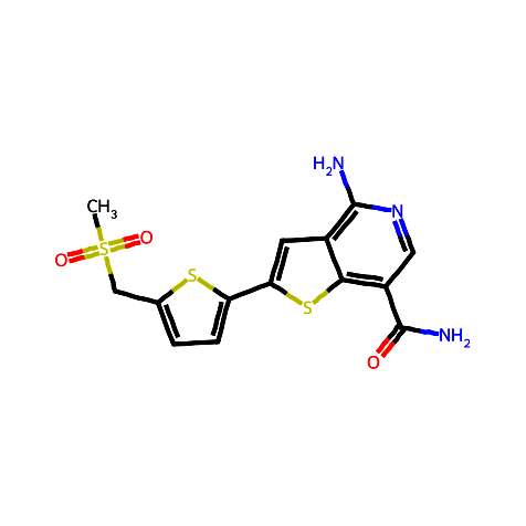 CS(=O)(=O)Cc1ccc(-c2cc3c(N)ncc(C(N)=O)c3s2)s1